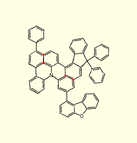 c1ccc(-c2ccc(-c3ccccc3N(c3cccc(-c4cccc5oc6ccccc6c45)c3)c3ccccc3-c3cccc4c3-c3ccccc3C4(c3ccccc3)c3ccccc3)cc2)cc1